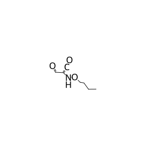 CCCCONC(=C=O)C=O